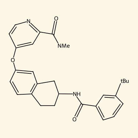 CNC(=O)c1cc(Oc2ccc3c(c2)CC(NC(=O)c2cccc(C(C)(C)C)c2)CC3)ccn1